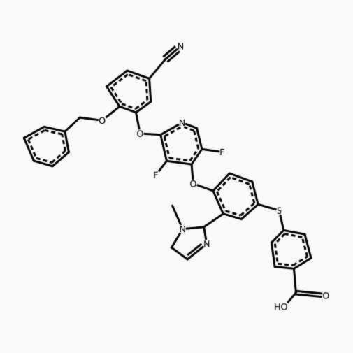 CN1CC=NC1c1cc(Sc2ccc(C(=O)O)cc2)ccc1Oc1c(F)cnc(Oc2cc(C#N)ccc2OCc2ccccc2)c1F